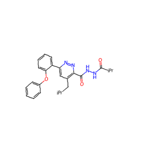 CC(C)Cc1cc(-c2ccccc2Oc2ccccc2)nnc1C(=O)NNC(=O)C(C)C